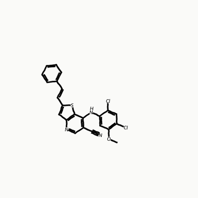 COc1cc(Nc2c(C#N)cnc3cc(C=Cc4ccccc4)sc23)c(Cl)cc1Cl